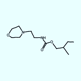 CCC(C)COC(=O)NCCN1CCOCC1